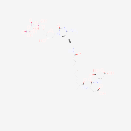 CC(CCCSSCCC(=O)NCC#Cc1cn([C@H]2CC(O)[C@@H](COP(=O)(O)OP(=O)(O)OP(=O)(O)O)O2)c(=O)nc1N)C(=O)NC(CC(=O)O)C(=O)NC(CC(=O)O)C(=O)O